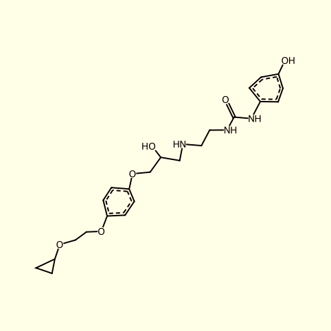 O=C(NCCNCC(O)COc1ccc(OCCOC2CC2)cc1)Nc1ccc(O)cc1